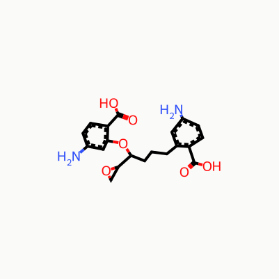 Nc1ccc(C(=O)O)c(CCCC(Oc2cc(N)ccc2C(=O)O)C2CO2)c1